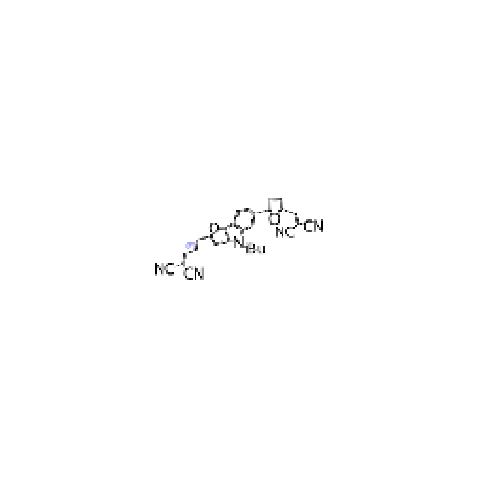 CCC(C)n1c2cc(-c3ccc(C=C(C#N)C#N)o3)ccc2c2oc(/C=C/C=C(C#N)C#N)cc21